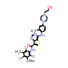 COc1c(Cl)c(C)c(Cl)c(NC(=O)c2csc3c(Nc4ccc(N5CCN(CCO)CC5)cc4C)ncnc23)c1Cl